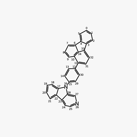 c1ccc2c(c1)-c1cccc3c(-c4ccc(-n5c6ccccc6c6ccncc65)cc4)ccc-2c13